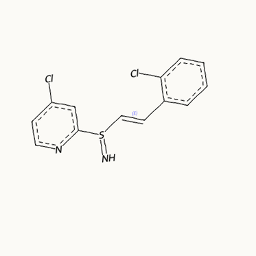 N=S(/C=C/c1ccccc1Cl)c1cc(Cl)ccn1